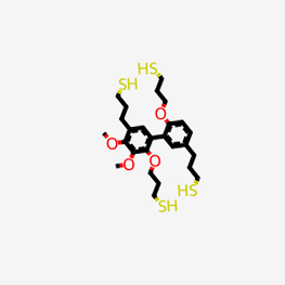 COc1c(CCCS)cc(-c2cc(CCCS)ccc2OCCCS)c(OCCCS)c1OC